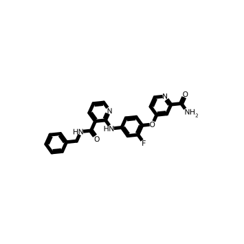 NC(=O)c1cc(Oc2ccc(Nc3ncccc3C(=O)NCc3ccccc3)cc2F)ccn1